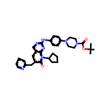 CC(C)(C)OC(=O)N1CCN(c2ccc(Nc3ncc4cc(Cc5ccccn5)c(=O)n(C5CCCC5)c4n3)cc2)CC1